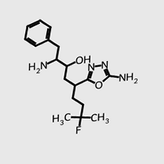 CC(C)(F)CCC(CC(O)C(N)Cc1ccccc1)c1nnc(N)o1